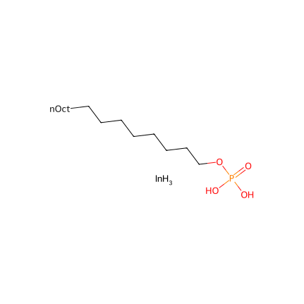 CCCCCCCCCCCCCCCCOP(=O)(O)O.[InH3]